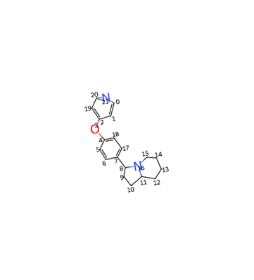 c1cc(Oc2ccc(C3CCC4CCCCN43)cc2)ccn1